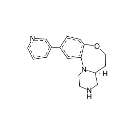 c1cncc(-c2ccc3c(c2)N2CCNC[C@@H]2CCO3)c1